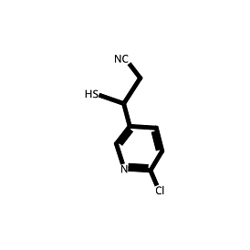 N#CCC(S)c1ccc(Cl)nc1